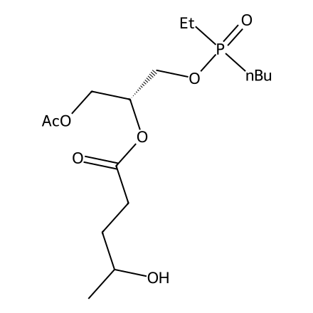 CCCCP(=O)(CC)OC[C@@H](COC(C)=O)OC(=O)CCC(C)O